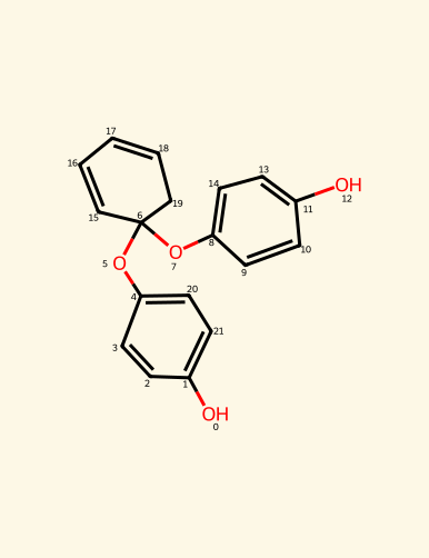 Oc1ccc(OC2(Oc3ccc(O)cc3)C=CC=CC2)cc1